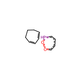 C1=CCCCC=C1.c1cc[pH]ooc1